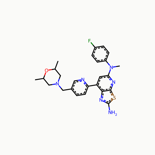 CC1CN(Cc2ccc(-c3cc(N(C)c4ccc(F)cc4)nc4sc(N)nc34)nc2)CC(C)O1